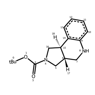 CC(C)(C)OC(=O)N1C[C@H]2CNc3ccccc3[C@@H]2C1